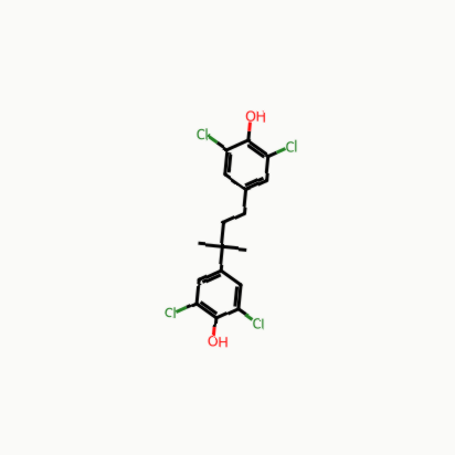 CC(C)(CCc1cc(Cl)c(O)c(Cl)c1)c1cc(Cl)c(O)c(Cl)c1